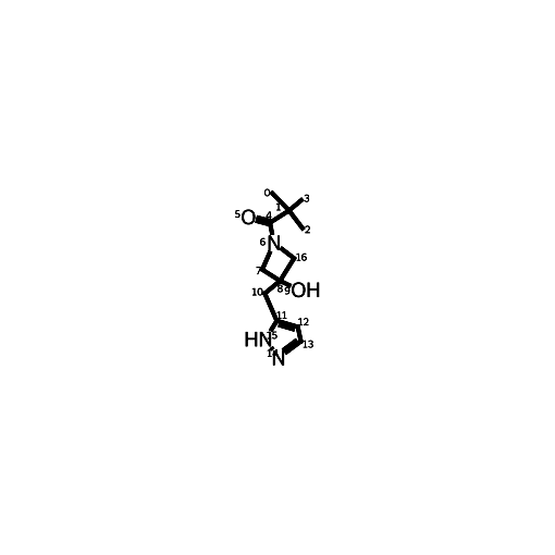 CC(C)(C)C(=O)N1CC(O)(Cc2ccn[nH]2)C1